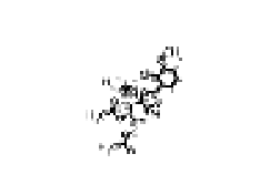 COc1cccc(C2=N[C@H]3O[C@H](COC(C)=O)[C@@H](OC(C)=O)[C@H](OC(C)=O)[C@H]3O2)c1Cl